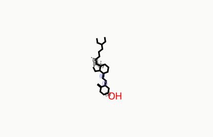 C=C1CC[C@H](O)C/C1=C/C=C1\CCC[C@@]2(C)C1CC[C@@H]2[C@H](C)CCCC(CC)CC